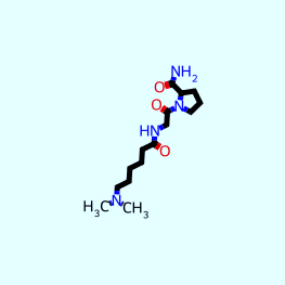 CN(C)CCCCCC(=O)NCC(=O)N1CCCC1C(N)=O